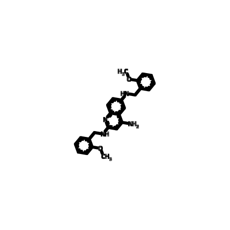 COc1ccccc1CNc1ccc2nc(NCc3ccccc3OC)cc(N)c2c1